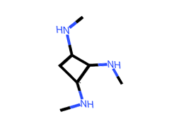 CN[C]1CC(NC)C1NC